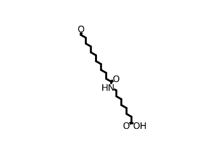 O=CCCCCCCCCCCC(=O)NCCCCCCCC(=O)O